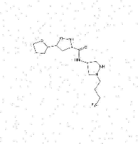 O=C(NC1CNN(CCCC(F)(F)F)C1)C1CC(C2CCCO2)ON1